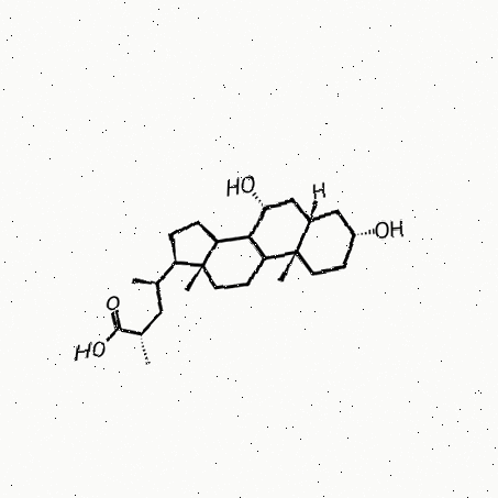 C[C@H](C[C@H](C)C(=O)O)[C@H]1CCC2C3C(CC[C@@]21C)[C@@]1(C)CC[C@@H](O)C[C@H]1C[C@H]3O